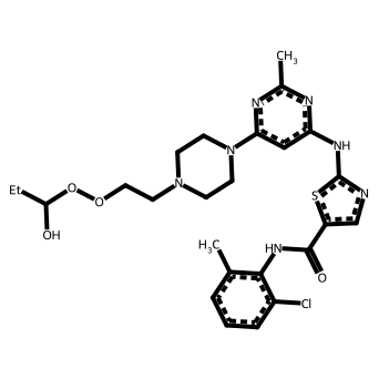 CCC(O)OOCCN1CCN(c2cc(Nc3ncc(C(=O)Nc4c(C)cccc4Cl)s3)nc(C)n2)CC1